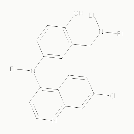 CCN(CC)Cc1cc(N(CC)c2ccnc3cc(Cl)ccc23)ccc1O